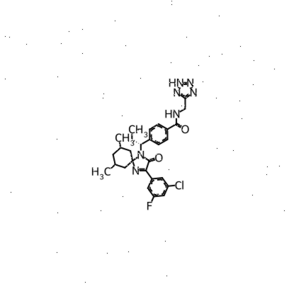 CC[C@H](c1ccc(C(=O)NCc2nn[nH]n2)cc1)N1C(=O)C(c2cc(F)cc(Cl)c2)=NC12CC(C)CC(C)C2